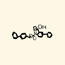 O=C(Nc1ccc(-c2ccccc2)cc1C(=O)O)OCc1ccc(-c2ccccc2)cc1